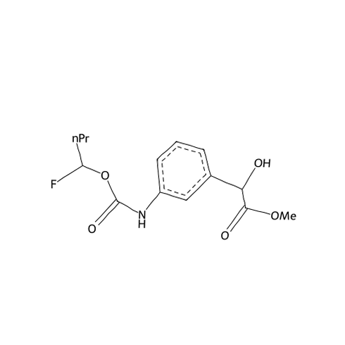 CCCC(F)OC(=O)Nc1cccc(C(O)C(=O)OC)c1